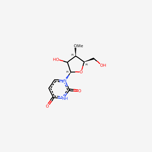 CO[C@@H]1C(O)[C@H](n2ccc(=O)[nH]c2=O)O[C@@H]1CO